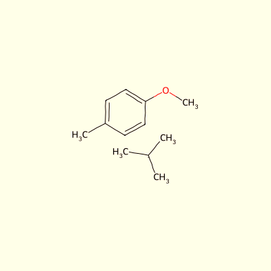 COc1ccc(C)cc1.C[C](C)C